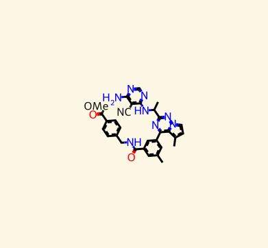 COC(=O)c1ccc(CNC(=O)c2cc(C)cc(-c3nc(C(C)Nc4ncnc(N)c4C#N)nn4ccc(C)c34)c2)cc1